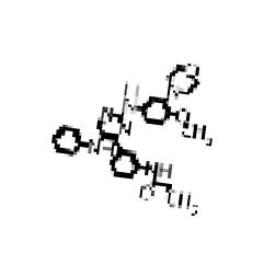 C=CC(=O)Nc1cccc(-c2nc(Nc3ccc(OC)c(N4CCOCC4)c3)ncc2Nc2ccccc2)c1